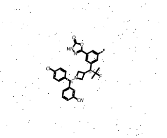 CC(C)(F)[C@H](c1cc(F)cc(-c2n[nH]c(=O)o2)c1)C1CN([C@@H](c2ccc(Cl)cc2)c2cccc(C#N)c2)C1